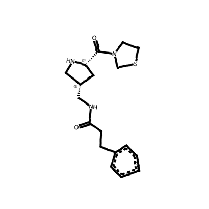 O=C(CCc1ccccc1)NC[C@@H]1CN[C@H](C(=O)N2CCSC2)C1